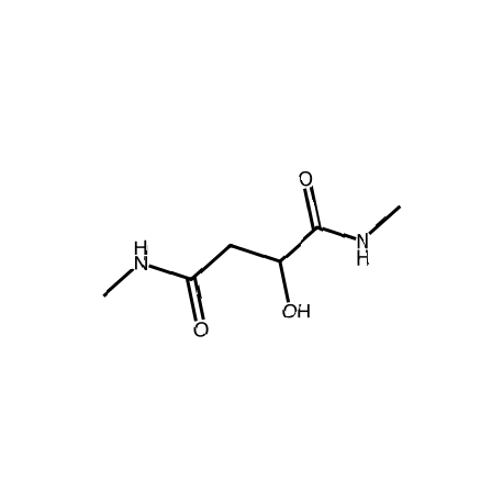 CNC(=O)CC(O)C(=O)NC